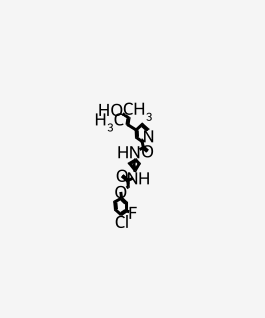 CC(C)(O)/C=C/c1ccnc(C(=O)NC23CC(NC(=O)COc4ccc(Cl)c(F)c4)(C2)C3)c1